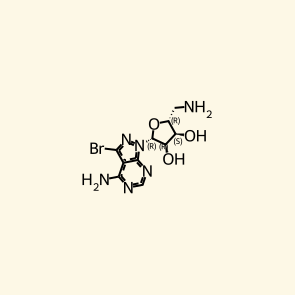 NC[C@H]1O[C@@H](n2nc(Br)c3c(N)ncnc32)[C@H](O)[C@@H]1O